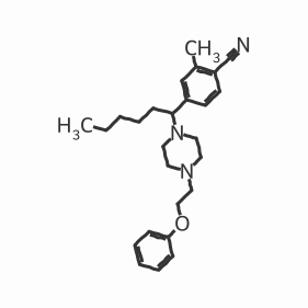 CCCCCC(c1ccc(C#N)c(C)c1)N1CCN(CCOc2ccccc2)CC1